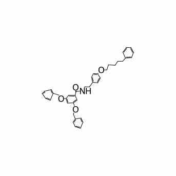 O=C(NCCc1ccc(OCCCCCc2ccccc2)cc1)c1cc(OCc2ccccc2)cc(OCc2ccccc2)c1